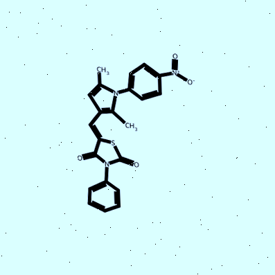 Cc1cc(C=C2SC(=O)N(c3ccccc3)C2=O)c(C)n1-c1ccc([N+](=O)[O-])cc1